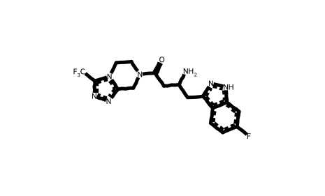 NC(CC(=O)N1CCn2c(nnc2C(F)(F)F)C1)Cc1n[nH]c2cc(F)ccc12